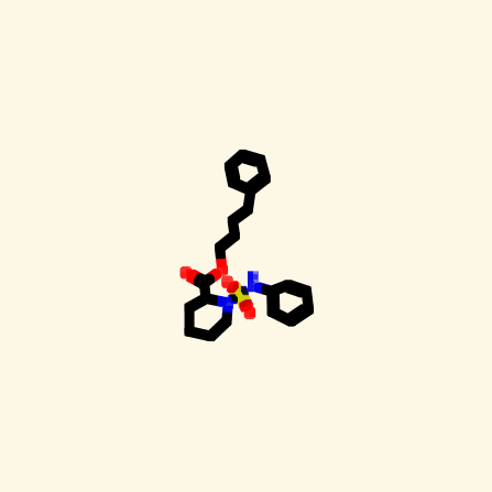 O=C(OCCCCc1ccccc1)C1CCCCN1S(=O)(=O)Nc1ccccc1